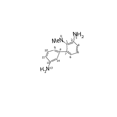 CNc1c(N)cccc1-c1cccc(N)c1